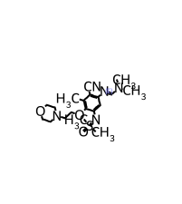 Cc1c(C#N)c(/N=C/N(C)C)cc(N=S(C)(C)=O)c1OCCN1CCOCC1